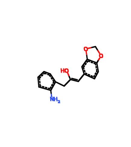 Nc1ccccc1CC(O)=Cc1ccc2c(c1)OCO2